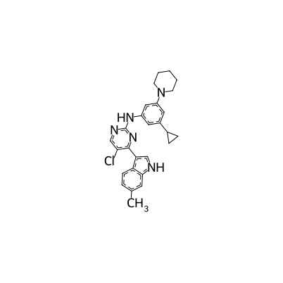 Cc1ccc2c(-c3nc(Nc4cc(C5CC5)cc(N5CCCCC5)c4)ncc3Cl)c[nH]c2c1